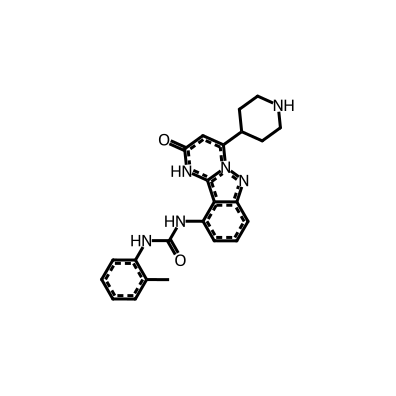 Cc1ccccc1NC(=O)Nc1cccc2nn3c(C4CCNCC4)cc(=O)[nH]c3c12